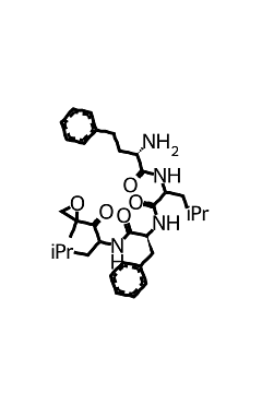 CC(C)CC(NC(=O)[C@@H](N)CCc1ccccc1)C(=O)N[C@@H](Cc1ccccc1)C(=O)NC(CC(C)C)C(=O)C1(C)CO1